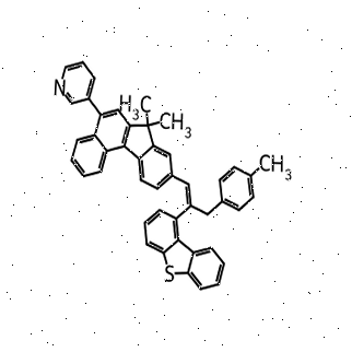 Cc1ccc(C/C(=C/c2ccc3c(c2)C(C)(C)c2cc(-c4cccnc4)c4ccccc4c2-3)c2cccc3sc4ccccc4c23)cc1